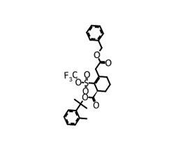 Cc1ccccc1C(C)(C)OC(=O)[C@@H]1CCCC(CC(=O)OCc2ccccc2)=C1S(=O)(=O)OC(F)(F)F